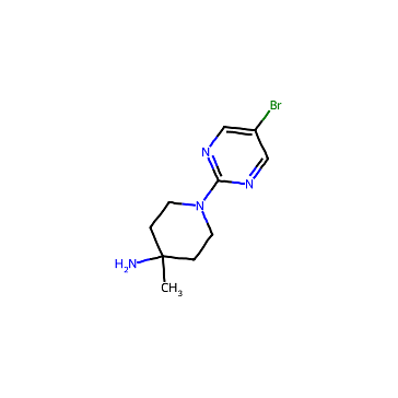 CC1(N)CCN(c2ncc(Br)cn2)CC1